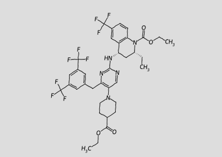 CCOC(=O)C1CCN(c2cnc(N[C@H]3C[C@@H](CC)N(C(=O)OCC)c4ccc(C(F)(F)F)cc43)nc2Cc2cc(C(F)(F)F)cc(C(F)(F)F)c2)CC1